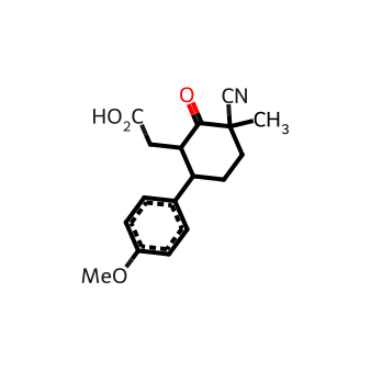 COc1ccc(C2CCC(C)(C#N)C(=O)C2CC(=O)O)cc1